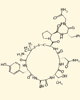 CC[C@H](C)C1NC(=O)[C@H](Cc2ccc(O)cc2)NC(=O)[C@H](N)C(C)(C)SSC[C@@H](C(=O)N2CCC[C@H]2C(=O)N[C@@H](CC(C)C)C(=O)NCC(N)=O)NC(=O)[C@H](CC(N)=O)NC(=O)[C@H]([C@@H](C)O)NC1=O